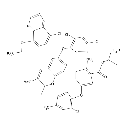 CCOC(=O)C(C)OC(=O)c1cc(Oc2ccc(C(F)(F)F)cc2Cl)ccc1[N+](=O)[O-].COC(=O)C(C)Oc1ccc(Oc2ccc(Cl)cc2Cl)cc1.O=C(O)COc1ccc(Cl)c2cccnc12